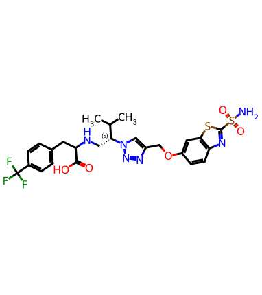 CC(C)[C@@H](CNC(Cc1ccc(C(F)(F)F)cc1)C(=O)O)n1cc(COc2ccc3nc(S(N)(=O)=O)sc3c2)nn1